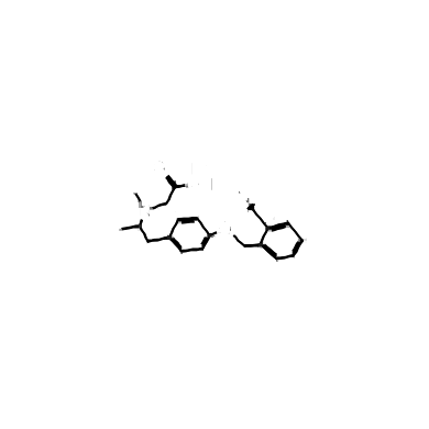 CC(Cc1ccc(OCc2ccccc2C#N)cc1)N(C)CC(=O)O.Cl